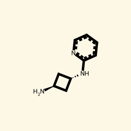 N[C@H]1C[C@H](Nc2ccccn2)C1